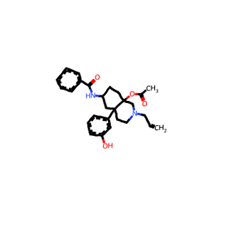 C=CCN1CCC2(c3cccc(O)c3)CC(NC(=O)c3ccccc3)CCC2(OC(C)=O)C1